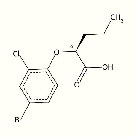 CCC[C@H](Oc1ccc(Br)cc1Cl)C(=O)O